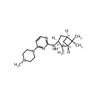 C[C@H]1[C@@H](Nc2nccc(N3CCN(C)CC3)n2)C[C@@H]2C[C@@H]1C2(C)C